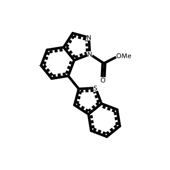 COC(=O)n1ncc2c[c]cc(-c3cc4ccccc4s3)c21